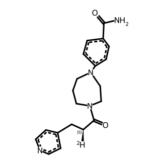 [2H][C@@H](Cc1ccncc1)C(=O)N1CCCN(c2ccc(C(N)=O)cc2)CC1